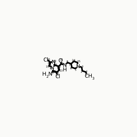 CCCCN1CCC(CNC(=O)c2cc(Cl)c(N)n3cc(Cl)nc23)CC1